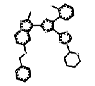 Cc1nn2ccc(OCc3ccccc3)cc2c1-c1nc(-c2ccccc2F)c(-c2ncn(C3CCCCO3)n2)s1